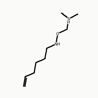 C=CCCCCNOC[SiH](C)C